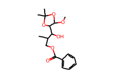 COC1OC(C)(C)OC1C(O)C(C)COC(=O)c1ccccc1